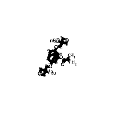 C=C(C)C(=O)OC12CC3CC(OCC4(CCCC)COC4)(CC(OCC4(CCCC)COC4)(C3)C1)C2